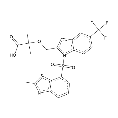 Cc1nc2cccc(S(=O)(=O)n3c(COC(C)(C)C(=O)O)cc4cc(C(F)(F)F)ccc43)c2s1